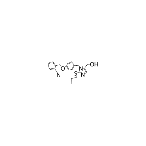 CCCSc1ncc(CO)n1Cc1ccc(OCc2ccccc2C#N)cc1